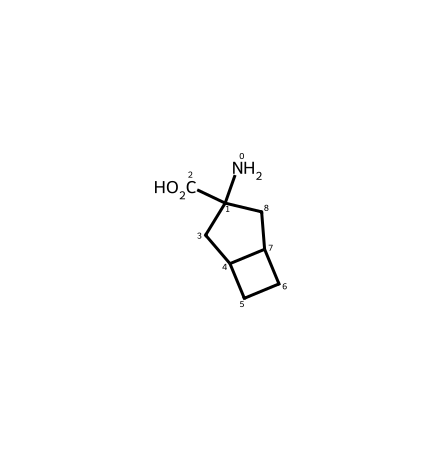 NC1(C(=O)O)CC2CCC2C1